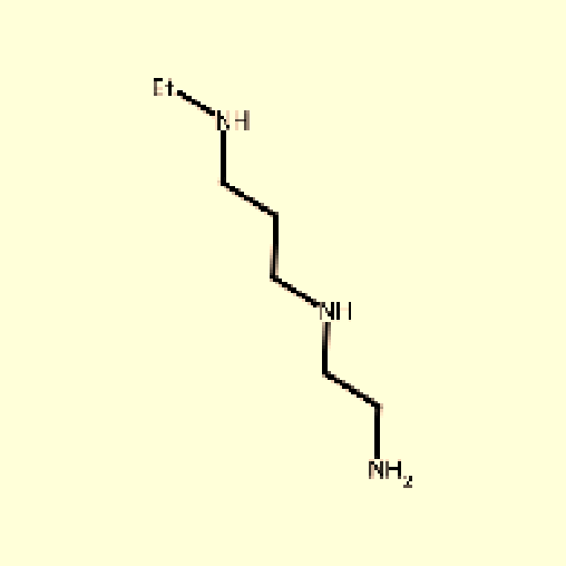 CCNCCCNCCN